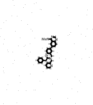 CNc1ncnc2ccc(-c3cccc(CN(Cc4ccccn4)C(=O)Cc4ccccc4)c3)cc12